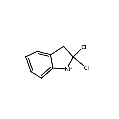 ClC1(Cl)[CH]c2ccccc2N1